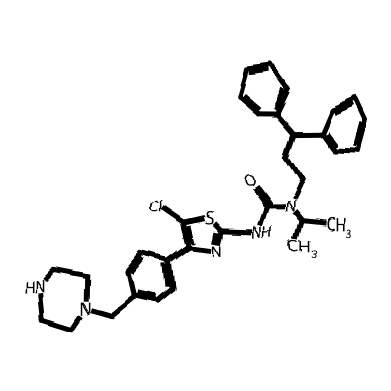 CC(C)N(CCC(c1ccccc1)c1ccccc1)C(=O)Nc1nc(-c2ccc(CN3CCNCC3)cc2)c(Cl)s1